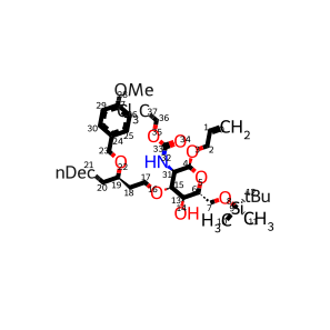 C=CCO[C@H]1O[C@H](CO[Si](C)(C)C(C)(C)C)[C@@H](O)[C@H](OCC[C@@H](CCCCCCCCCCC)OCc2ccc(OC)cc2)[C@H]1NC(=O)OCC(Cl)(Cl)Cl